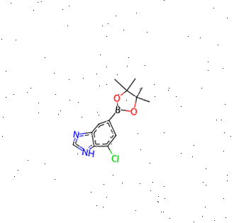 CC1(C)OB(c2cc(Cl)c3[nH]cnc3c2)OC1(C)C